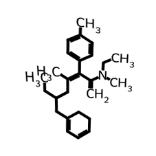 C=C(/C(=C(/C)CC(CC)CC1=CC=CCC1)c1ccc(C)cc1)N(C)CC